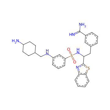 N=C(N)c1cccc(CC(NS(=O)(=O)c2cccc(NCC3CCC(N)CC3)c2)c2nc3ccccc3s2)c1